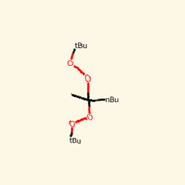 CCCCC(C)(OOC(C)(C)C)OOC(C)(C)C